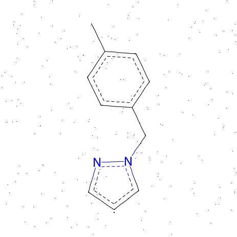 Cc1ccc(Cn2c[c]cn2)cc1